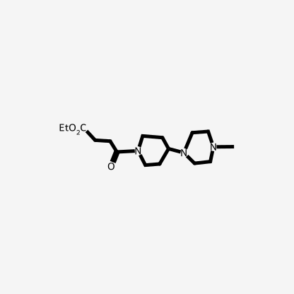 CCOC(=O)CCC(=O)N1CCC(N2CCN(C)CC2)CC1